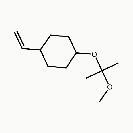 C=CC1CCC(OC(C)(C)OC)CC1